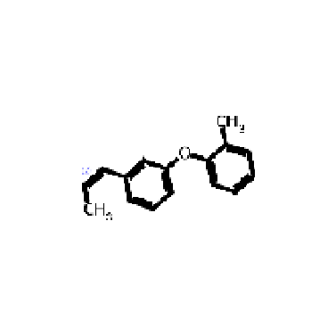 C/C=C\c1[c]c(Oc2ccccc2C)ccc1